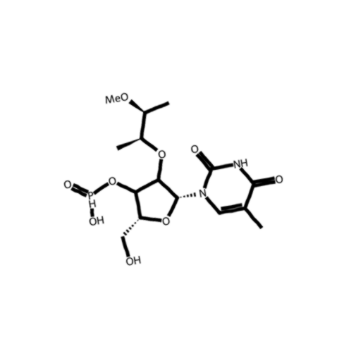 CO[C@@H](C)[C@H](C)OC1C(O[PH](=O)O)[C@@H](CO)O[C@H]1n1cc(C)c(=O)[nH]c1=O